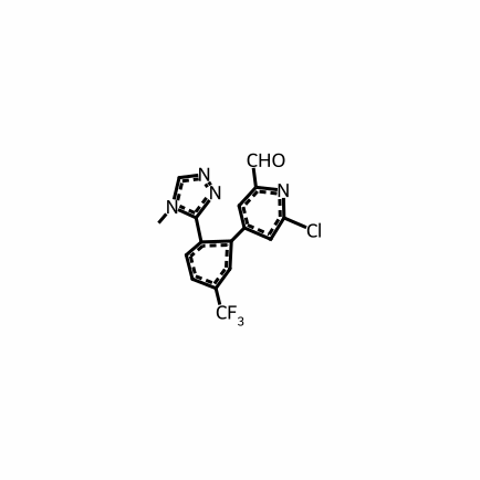 Cn1cnnc1-c1ccc(C(F)(F)F)cc1-c1cc(Cl)nc(C=O)c1